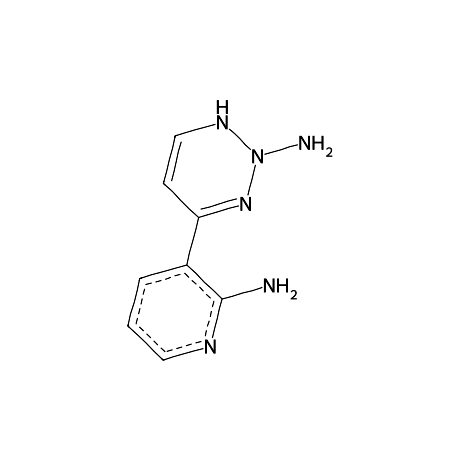 Nc1ncccc1C1=NN(N)NC=C1